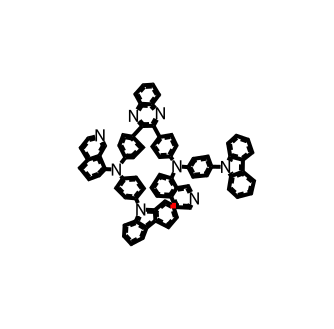 c1cc(N(c2ccc(-c3nc4ccccc4nc3-c3ccc(N(c4ccc(-n5c6ccccc6c6ccccc65)cc4)c4cccc5ccncc45)cc3)cc2)c2ccc(-n3c4ccccc4c4ccccc43)cc2)c2cnccc2c1